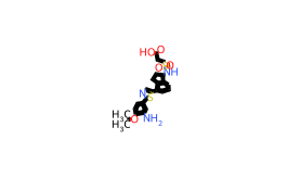 CC(C)Oc1ccc(-c2ncc(-c3cccc4c3CC[C@@H]4NS(=O)(=O)CCC(=O)O)s2)cc1N